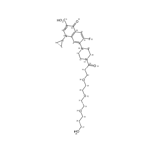 O=C(O)c1cn(C2CC2)c2cc(N3CCN(C(=O)CCOCCOCCOCCCO)CC3)c(F)cc2c1=O